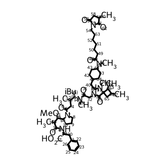 CC[C@H](C)[C@@H]([C@H](C)CC(=O)N1CCC[C@H]1[C@H](OC)[C@@H](C)C(=O)N[C@@H](Cc1ccccc1)C(=O)O)N(C)C(=O)CNC(=O)C1(N(C)CCC2CCC(N(C)C(=O)CCCCCCN3C(=O)CC(C)C3=O)CC2)CC(C)C1C